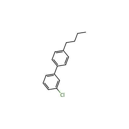 CCCCc1ccc(-c2cccc(Cl)c2)cc1